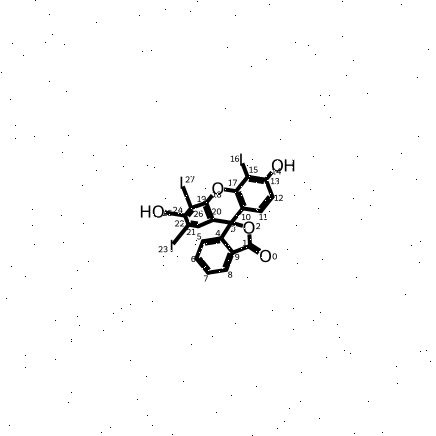 O=C1OC2(c3ccccc31)c1ccc(O)c(I)c1Oc1c2cc(I)c(O)c1I